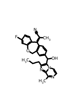 CCCc1nc2c(C)nccn2c1C(O)c1ccc2c(c1)COc1cc(F)ccc1C2=C(C)C#N